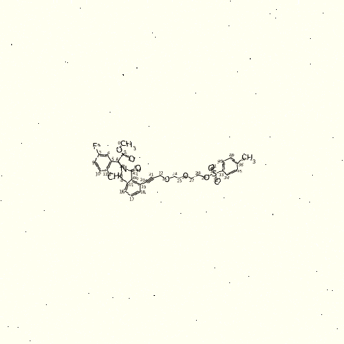 COC(=O)C(c1cc(F)ccc1C)N1Cc2cccc(C#CCOCCOCCOS(=O)(=O)c3ccc(C)cc3)c2C1=O